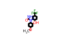 COc1ccc(N(C(N)=O)c2cccc(C(F)(F)F)c2)c(O)c1